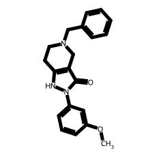 COc1cccc(-n2[nH]c3c(c2=O)CN(Cc2ccccc2)CC3)c1